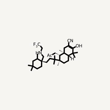 CC(=O)C[C@@H]1[C@@]2(C)CC(C#N)=C(O)C(C)(C)[C@@H]2CC[C@@]1(C)C(C)(C)CC[C@@]1(CNCC(F)(F)F)CCC(C)(C)CC1C